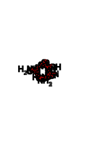 CC(=O)O[C@H]1CN2C(=O)[C@H](Cc3ccc(O)cc3)NC(=O)c3csc(n3)[C@H]([C@H](OC(=O)NCCN(C)C)c3ccccc3)NC(=O)c3nc(sc3C)[C@H](CC(N)=O)NC(=O)c3csc(n3)-c3ccc(-c4nc(C(N)=O)cs4)nc3-c3csc(n3)-c3csc(n3)[C@@H]2[C@H]1C